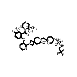 C[C@@H]1COC[C@](C)(O)N1C(=O)c1cc(F)ccc1Oc1cncnc1N1CC2(CCN(C[C@@]3(O)CC[C@@H](NS(=O)(=O)NCC(F)(F)F)CO3)CC2)C1